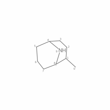 CC1CCC2CCC[C]1N2